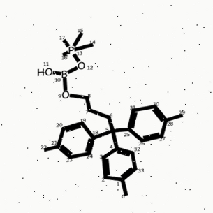 Cc1ccc(C(CCCOB(O)OP(C)(C)(C)C)(c2ccc(C)cc2)c2ccc(C)cc2)cc1